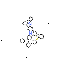 c1ccc(-c2cccc(-c3ccccc3)c2-c2ccc3c(c2)c2c4sc5ccccc5c4cc4c5cc6c(cc5n3c42)c2cccc3c4ccccc4n6c32)cc1